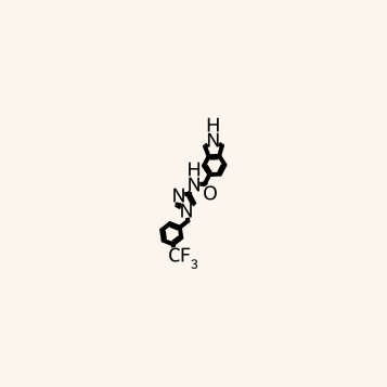 O=C(Nc1cn(Cc2cccc(C(F)(F)F)c2)cn1)c1ccc2c(c1)CNC2